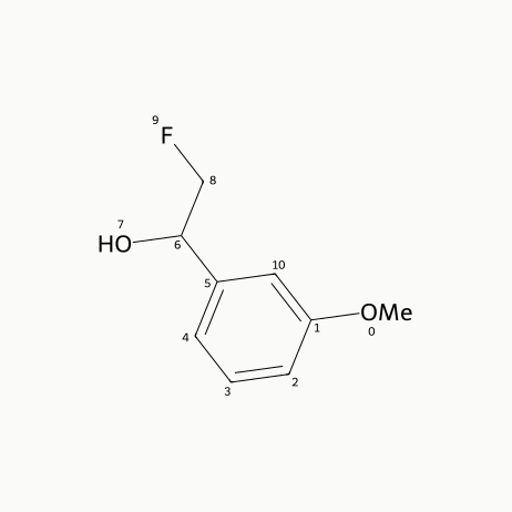 COc1cccc(C(O)CF)c1